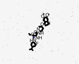 CCO/C(=C/Nc1ccc(C(C)C)cc1F)C(=N)C(=O)Nc1ccc(Oc2ccnc3cc(OC)c(OC)cc23)cn1